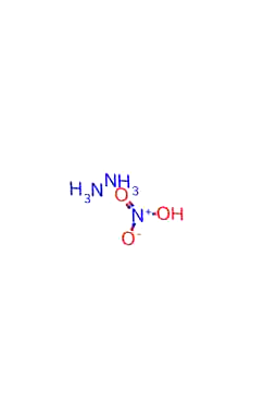 N.N.O=[N+]([O-])O